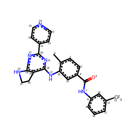 Cc1ccc(C(=O)Nc2cccc(C(F)(F)F)c2)cc1Nc1nc(-c2ccncc2)nc2c1CCN2